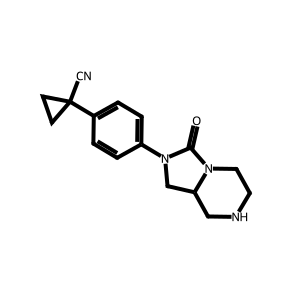 N#CC1(c2ccc(N3CC4CNCCN4C3=O)cc2)CC1